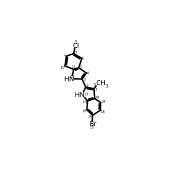 Cc1c(-c2cc3cc(Cl)ccc3[nH]2)[nH]c2cc(Br)ccc12